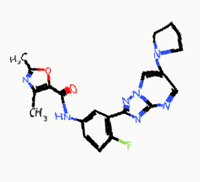 Cc1nc(C)c(C(=O)Nc2ccc(F)c(-c3nc4ncc(N5CCCC5)cn4n3)c2)o1